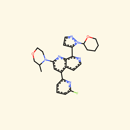 CC1COCCN1c1cc(-c2cccc(F)n2)c2ccnc(-c3ccnn3C3CCCCO3)c2n1